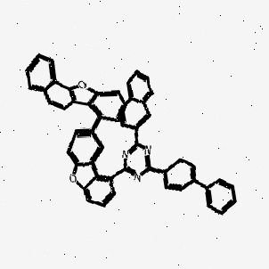 C1=CC(c2nc(-c3ccc4ccccc4c3)nc(-c3cccc4oc5ccc(-c6cccc7oc8c9ccccc9ccc8c67)cc5c34)n2)CC=C1c1ccccc1